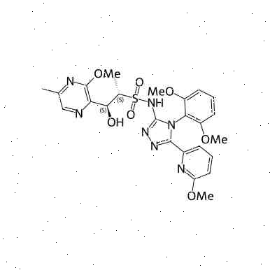 COc1cccc(-c2nnc(NS(=O)(=O)[C@@H](C)[C@@H](O)c3ncc(C)nc3OC)n2-c2c(OC)cccc2OC)n1